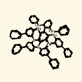 B1c2ccc(-c3ccccc3)cc2N2c3cc(-c4ccccc4)ccc3B3c4ccc(-c5ccccc5)cc4N4c5cc(-c6ccccc6)ccc5Bc5c(-c6c(Nc7ccccc7)cccc6Nc6ccccc6)c1c2c3c54